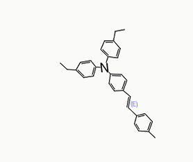 CCc1ccc(N(c2ccc(/C=C/c3ccc(C)cc3)cc2)c2ccc(CC)cc2)cc1